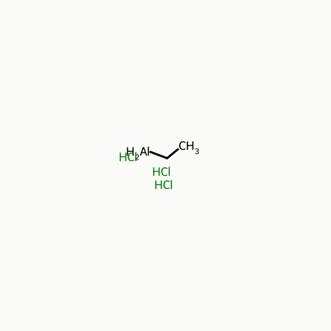 C[CH2][AlH2].Cl.Cl.Cl